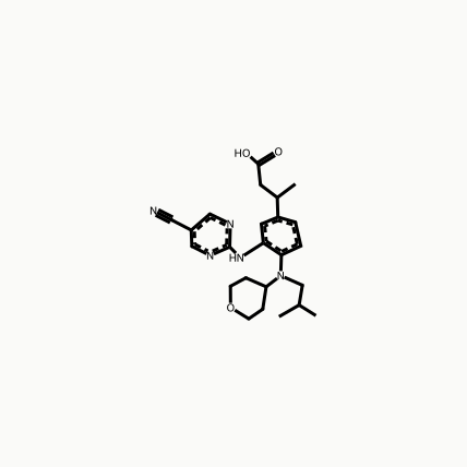 CC(C)CN(c1ccc(C(C)CC(=O)O)cc1Nc1ncc(C#N)cn1)C1CCOCC1